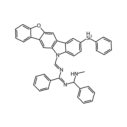 CNC(/N=C(\N=C\n1c2ccc([SiH2]c3ccccc3)cc2c2cc3oc4ccccc4c3cc21)c1ccccc1)c1ccccc1